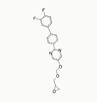 Fc1ccc(-c2ccc(-c3ncc(OCOCC4CO4)cn3)cc2)cc1F